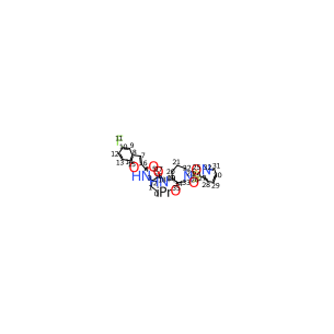 CC(C)CC(NC(=O)c1cc2cc(F)ccc2o1)C(=O)N[C@H]1CCCN(S(=O)(=O)c2ccccn2)CC1=O